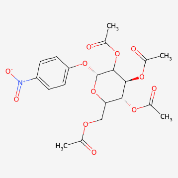 CC(=O)OCC1O[C@H](Oc2ccc([N+](=O)[O-])cc2)C(OC(C)=O)[C@@H](OC(C)=O)[C@@H]1OC(C)=O